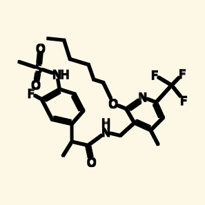 CCCCCCOc1nc(C(F)(F)F)cc(C)c1CNC(=O)C(C)c1ccc(NS(C)(=O)=O)c(F)c1